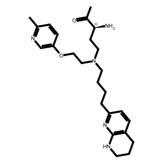 CC(=O)[C@@H](N)CCN(CCCCc1ccc2c(n1)NCCC2)CCOc1ccc(C)nc1